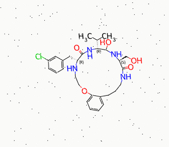 CC(C)[C@H]1NC(=O)[C@@H](Cc2cccc(Cl)c2)NCCOc2ccccc2CCCNC(=O)[C@H](CO)NC1O